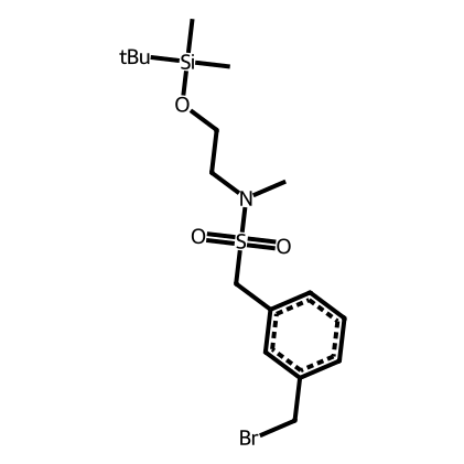 CN(CCO[Si](C)(C)C(C)(C)C)S(=O)(=O)Cc1cccc(CBr)c1